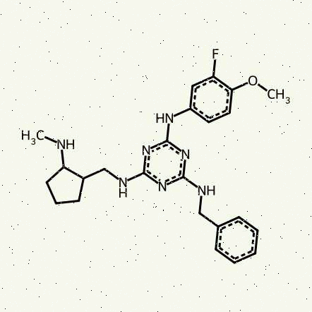 CNC1CCCC1CNc1nc(NCc2ccccc2)nc(Nc2ccc(OC)c(F)c2)n1